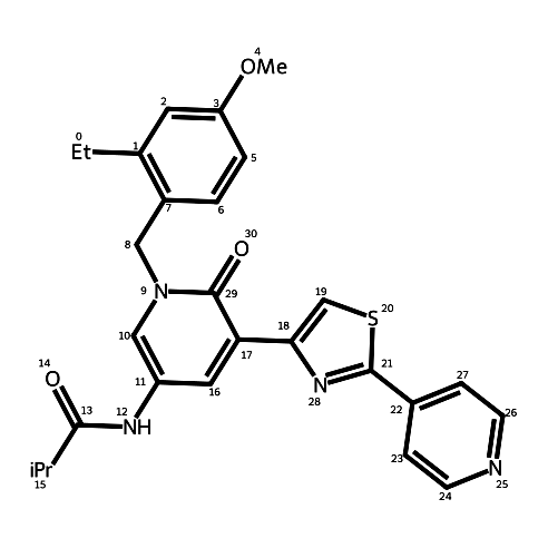 CCc1cc(OC)ccc1Cn1cc(NC(=O)C(C)C)cc(-c2csc(-c3ccncc3)n2)c1=O